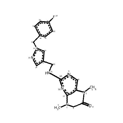 CN1CC(=O)N(C)c2cnc(NCc3cnn(Cc4ccc(F)cc4)c3)nc21